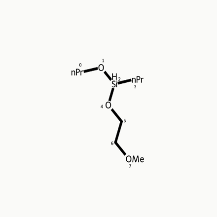 CCCO[SiH](CCC)OCCOC